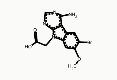 COc1cc2c(cc1Br)c1c(N)ncnc1n2CC(=O)O